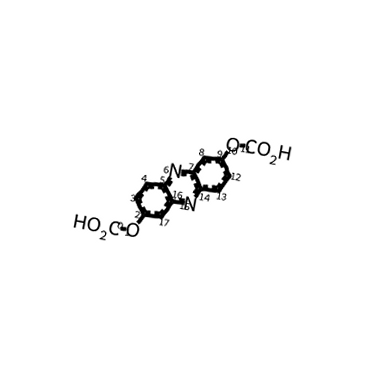 O=C(O)Oc1ccc2nc3cc(OC(=O)O)ccc3nc2c1